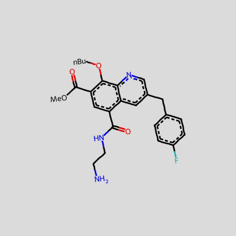 CCCCOc1c(C(=O)OC)cc(C(=O)NCCN)c2cc(Cc3ccc(F)cc3)cnc12